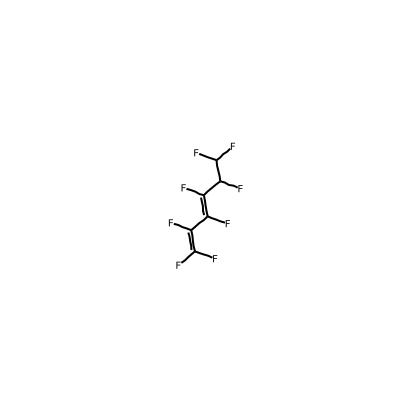 FC(F)=C(F)C(F)=C(F)C(F)C(F)F